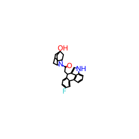 O=C(CC1c2ccc(F)cc2-c2cccc3[nH]cc1c23)N1C2CC3CC1CC(O)(C3)C2